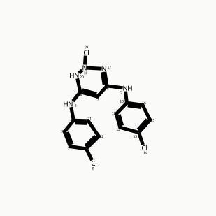 Clc1ccc(NC2=CC(Nc3ccc(Cl)cc3)=NN(Cl)N2)cc1